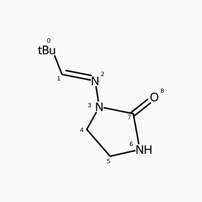 CC(C)(C)C=NN1CCNC1=O